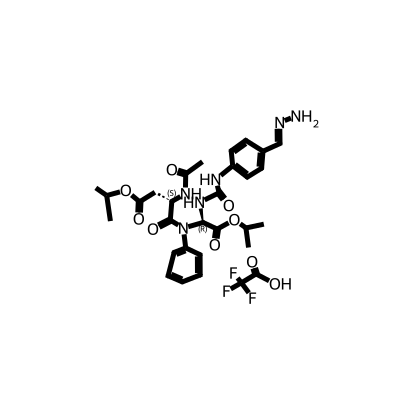 CC(=O)N[C@@H](CC(=O)OC(C)C)C(=O)N(c1ccccc1)[C@@H](NC(=O)Nc1ccc(C=NN)cc1)C(=O)OC(C)C.O=C(O)C(F)(F)F